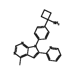 Cc1ncnc2c1cc(-c1ccccn1)n2-c1ccc(C2(N)CCC2)cc1